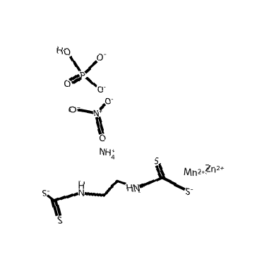 O=P([O-])([O-])O.O=[N+]([O-])[O-].S=C([S-])NCCNC(=S)[S-].[Mn+2].[NH4+].[Zn+2]